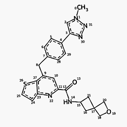 Cn1cc(-c2ccc(Cc3cc(C(=O)NC4CC5(COC5)C4)nc4ccsc34)cc2)nn1